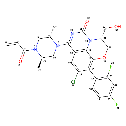 C=CC(=O)N1C[C@H](C)N(c2nc(=O)n3c4c(c(-c5ccc(F)cc5F)c(Cl)cc24)OC[C@H]3CO)C[C@H]1C